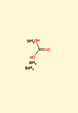 O=[Si](O)O.[AlH3].[BaH2].[SrH2]